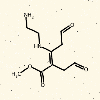 COC(=O)C(CC=O)=C(CC=O)NCCN